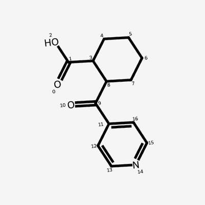 O=C(O)C1CCCCC1C(=O)c1ccncc1